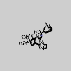 CCCOc1ccc2c(c1OC)N=C(/C=C(\O)c1cccnc1)N1CCN=C21